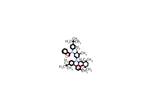 CC1=CC(N(c2ccc(C(C)(C)C)cc2-c2ccc(C)cc2)C2C=C3C(=CC2)C(C)(C)CCC3(C)C)=CC(N(c2ccc(C(C)(C)C)cc2)c2coc3c#cccc23)C1C